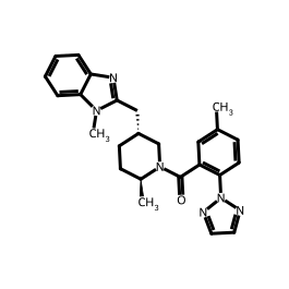 Cc1ccc(-n2nccn2)c(C(=O)N2C[C@@H](Cc3nc4ccccc4n3C)CC[C@@H]2C)c1